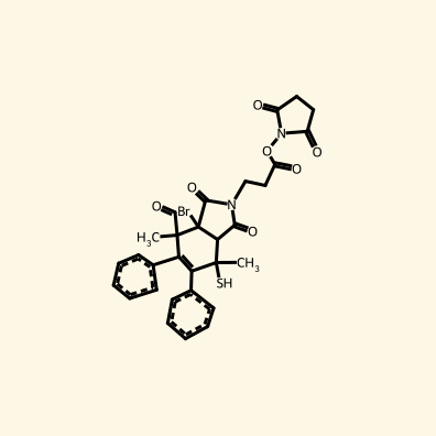 CC1(S)C(c2ccccc2)=C(c2ccccc2)C(C)(C=O)C2(Br)C(=O)N(CCC(=O)ON3C(=O)CCC3=O)C(=O)C12